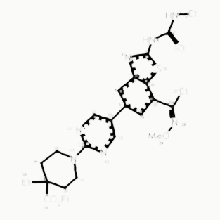 CCNC(=O)Nc1nc2cc(-c3cnc(N4CCC(CC)(C(=O)OCC)CC4)nc3)cc(/C(CC)=N\OC)c2s1